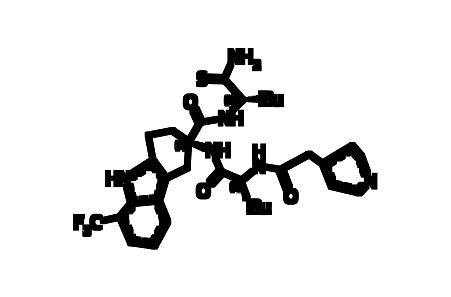 CCC(C)[C@H](NC(=O)Cc1ccncc1)C(=O)N[C@]1(C(=O)N[C@H](C(N)=S)C(C)CC)CCc2[nH]c3c(C(F)(F)F)cccc3c2C1